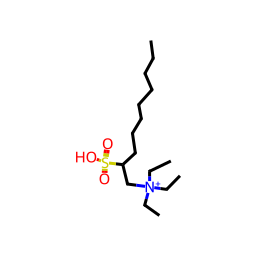 CCCCCCCCC(C[N+](CC)(CC)CC)S(=O)(=O)O